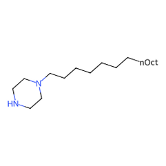 CCCCCCCCCCCCCCCN1CCNCC1